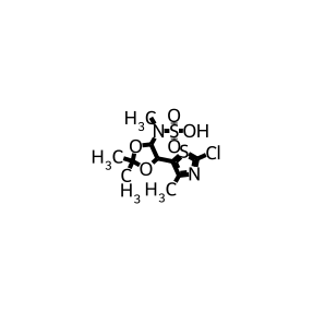 Cc1nc(Cl)sc1C1OC(C)(C)OC1N(C)S(=O)(=O)O